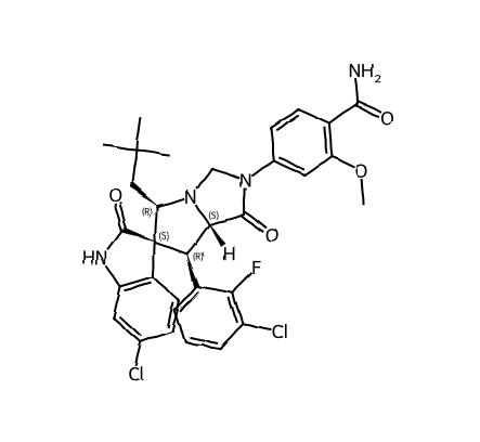 COc1cc(N2CN3[C@H](C2=O)[C@@H](c2cccc(Cl)c2F)[C@@]2(C(=O)Nc4cc(Cl)ccc42)[C@H]3CC(C)(C)C)ccc1C(N)=O